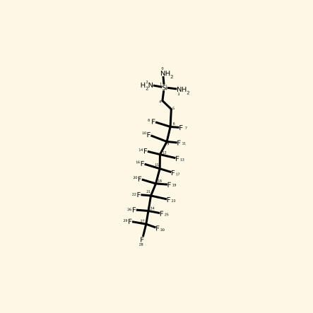 N[Si](N)(N)CCC(F)(F)C(F)(F)C(F)(F)C(F)(F)C(F)(F)C(F)(F)C(F)(F)C(F)(F)F